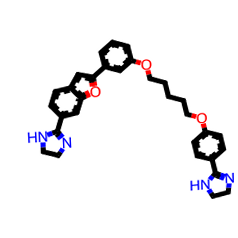 c1cc(OCCCCCOc2ccc(C3=NCCN3)cc2)cc(-c2cc3ccc(C4=NCCN4)cc3o2)c1